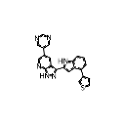 c1cc(-c2ccsc2)c2cc(-c3n[nH]c4ncc(-c5cncnc5)cc34)[nH]c2c1